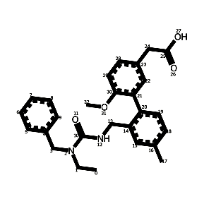 CCN(Cc1ccccc1)C(=O)NCc1cc(C)ccc1-c1cc(CC(=O)O)ccc1OC